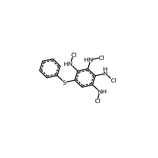 ClNc1cc(Sc2ccccc2)c(NCl)c(NCl)c1NCl